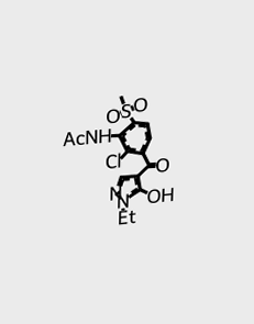 CCn1ncc(C(=O)c2ccc(S(C)(=O)=O)c(NC(C)=O)c2Cl)c1O